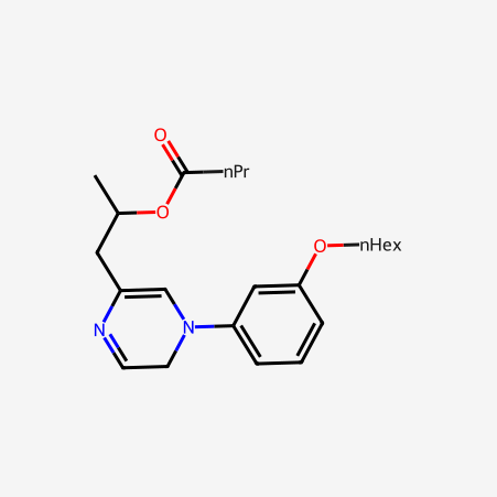 CCCCCCOc1cccc(N2C=C(CC(C)OC(=O)CCC)N=CC2)c1